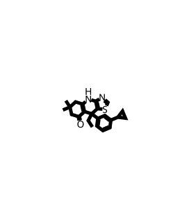 CCC1(c2cccc(C3CC3)c2)C2=C(CC(C)(C)CC2=O)Nc2ncsc21